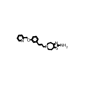 Nc1nc2c(s1)CCN(CC=Cc1cccc(OCc3ccccn3)c1)CC2